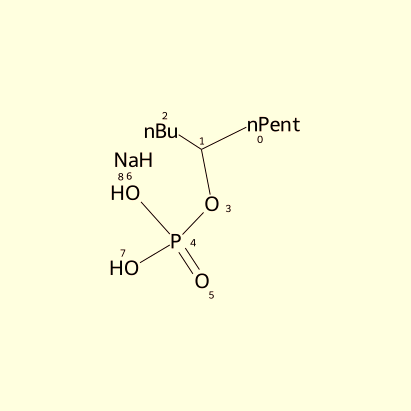 CCCCCC(CCCC)OP(=O)(O)O.[NaH]